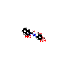 O=C(N/N=C/c1cc(O)c(O)cc1O)c1cc2ccccc2cc1O